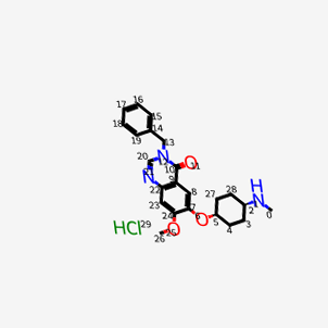 CN[C@H]1CC[C@@H](Oc2cc3c(=O)n(Cc4ccccc4)cnc3cc2OC)CC1.Cl